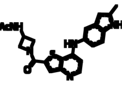 CC(=O)NC1CN(C(=O)c2cc3nccc(Nc4ccc5[nH]c(C)cc5c4)c3s2)C1